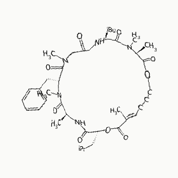 CCC(C)[C@@H]1NC(=O)CN(C)C(=O)[C@@H](Cc2ccccc2)N(C)C(=O)[C@H](C)NC(=O)[C@@H](CC(C)C)OC(=O)/C(C)=C/CCCOC(=O)[C@H](C)N(C)C1=O